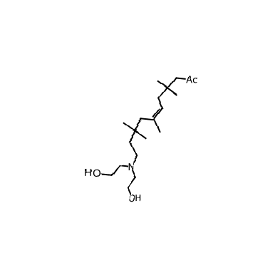 CC(=O)CC(C)(C)C/C=C(/C)CC(C)(C)CCN(CCO)CCO